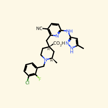 Cc1cc(Nc2ccc(C#N)c(C[C@@]3(C(=O)O)CCN(Cc4cccc(Cl)c4F)[C@H](C)C3)n2)n[nH]1